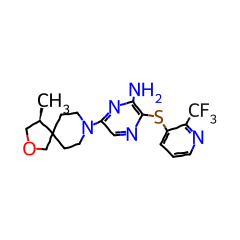 C[C@@H]1COCC12CCN(c1cnc(Sc3cccnc3C(F)(F)F)c(N)n1)CC2